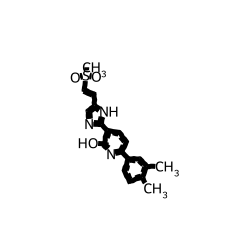 Cc1ccc(-c2ccc(-c3ncc(/C=C/S(C)(=O)=O)[nH]3)c(O)n2)cc1C